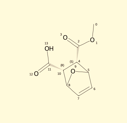 COC(=O)[C@@H]1C2C=CC(O2)[C@@H]1C(=O)O